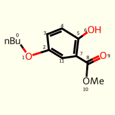 CCCCOc1ccc(O)c(C(=O)OC)c1